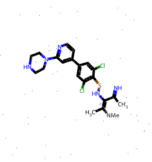 CN/C(C)=C(/NSc1c(Cl)cc(-c2ccnc(N3CCNCC3)c2)cc1Cl)C(C)=N